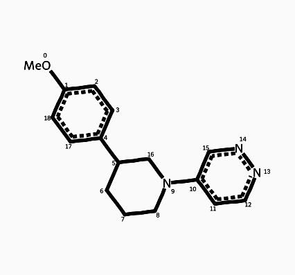 COc1ccc(C2CCCN(c3ccnnc3)C2)cc1